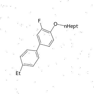 CCCCCCCOc1ccc(-c2ccc(CC)cc2)cc1F